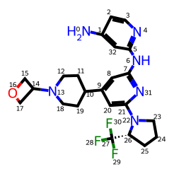 Nc1ccnc(Nc2cc(C3CCN(C4COC4)CC3)cc(N3CCC[C@@H]3C(F)(F)F)n2)c1